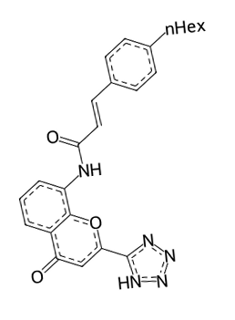 CCCCCCc1ccc(/C=C/C(=O)Nc2cccc3c(=O)cc(-c4nnn[nH]4)oc23)cc1